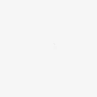 CCCCCC(C)(C)C.N=C=O